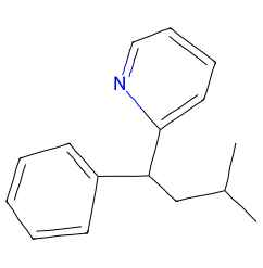 CC(C)CC(c1ccccc1)c1ccccn1